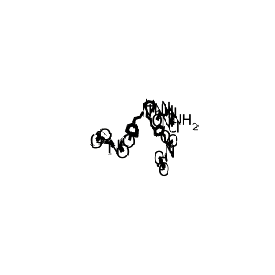 CN(CCS(C)(=O)=O)C(=O)COc1ccc(CCC[N+]2(CCCc3ccc(OCC(=O)N(C)CCS(C)(=O)=O)cc3)CCC[C@H](NC(=O)c3nc(Cl)c(N)nc3N)C2)cc1